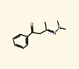 C/C(CC(=O)c1ccccc1)=N\N(C)C